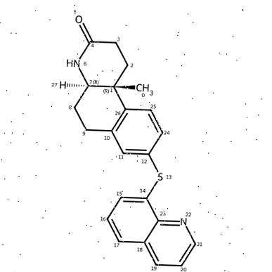 C[C@]12CCC(=O)N[C@@H]1CCc1cc(Sc3cccc4cccnc34)ccc12